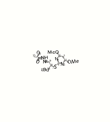 COc1cc(OC)nc(SC(C=NNS(C)(=O)=O)C(C)(C)C)n1